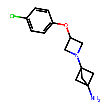 NC12CC(N3CC(Oc4ccc(Cl)cc4)C3)(C1)C2